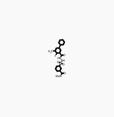 CNC(=O)c1cccc(S(=O)(=O)NNC(=O)c2cc(-c3ccccc3)cc(C)c2F)c1